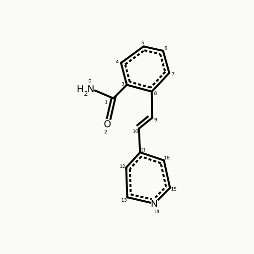 NC(=O)c1ccccc1C=Cc1ccncc1